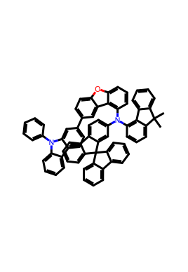 CC1(C)c2ccccc2-c2c(N(c3ccc4c(c3)C3(c5ccccc5-c5ccccc53)c3ccccc3-4)c3cccc4oc5ccc(-c6ccc7c8ccccc8n(-c8ccccc8)c7c6)cc5c34)cccc21